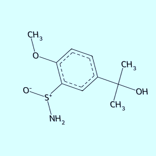 COc1ccc(C(C)(C)O)cc1[S+](N)[O-]